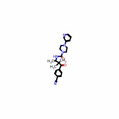 CC(NC(=O)N1CCN(c2cccnc2)CC1)C(C)(C)C(=O)c1ccc(C#N)cc1